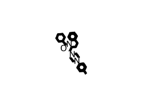 Cc1ccc(N2CCN(CC3CCc4ccccc4N3C(=O)C3CCCCC3)CC2)cc1